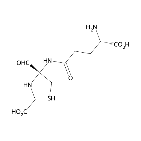 N[C@@H](CCC(=O)N[C@](C=O)(CS)NCC(=O)O)C(=O)O